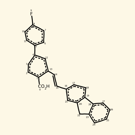 O=C(O)c1ccc(-c2ccc(F)cc2)cc1C=Cc1ccc2c(c1)Cc1ccccc1-2